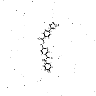 O=C(CSc1ccc(C(=O)Nc2ccc(F)cc2)cn1)c1ccc(-c2nn[nH]n2)cc1